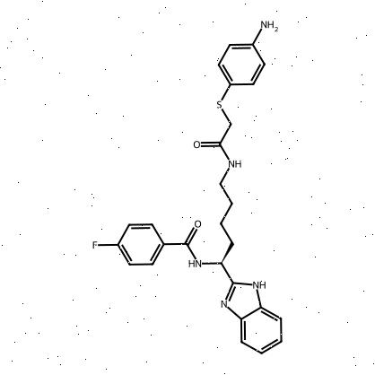 Nc1ccc(SCC(=O)NCCCC[C@H](NC(=O)c2ccc(F)cc2)c2nc3ccccc3[nH]2)cc1